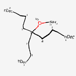 CCCCCCCCCCCCC(CCCCCCCCCCCC)(CCCCCCCCCCCC)O[SiH3]